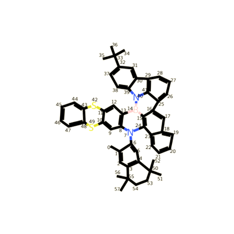 Cc1cc2c(cc1N1c3cc4c(cc3B3c5c(cc6ccccc6c51)-c1cccc5c6cc(C(C)(C)C)ccc6n3c15)Sc1ccccc1S4)C(C)(C)CCC2(C)C